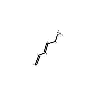 [C]=CC=CCC